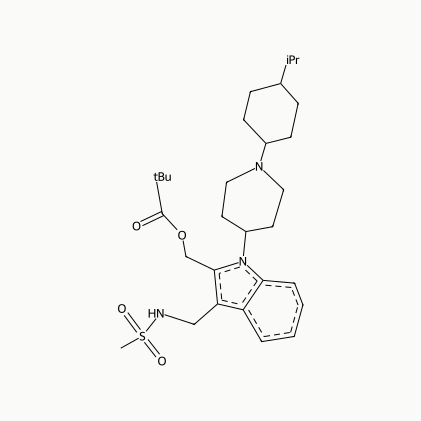 CC(C)C1CCC(N2CCC(n3c(COC(=O)C(C)(C)C)c(CNS(C)(=O)=O)c4ccccc43)CC2)CC1